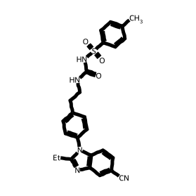 CCc1nc2cc(C#N)ccc2n1-c1ccc(CCNC(=O)NS(=O)(=O)c2ccc(C)cc2)cc1